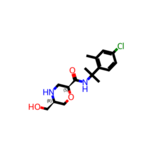 Cc1cc(Cl)ccc1C(C)(C)NC(=O)[C@@H]1CN[C@H](CO)CO1